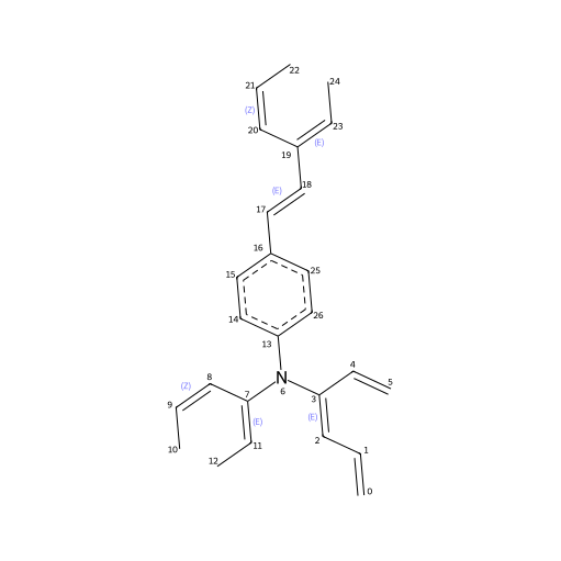 C=C/C=C(\C=C)N(C(/C=C\C)=C/C)c1ccc(/C=C/C(/C=C\C)=C/C)cc1